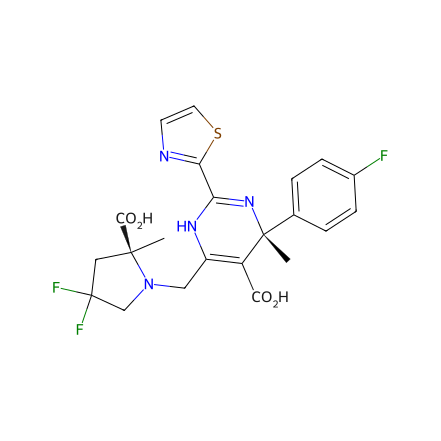 C[C@]1(c2ccc(F)cc2)N=C(c2nccs2)NC(CN2CC(F)(F)C[C@@]2(C)C(=O)O)=C1C(=O)O